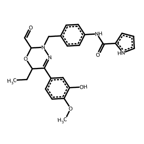 CCC1OC(C=O)N(Cc2ccc(NC(=O)c3ccc[nH]3)cc2)N=C1c1ccc(OC)c(O)c1